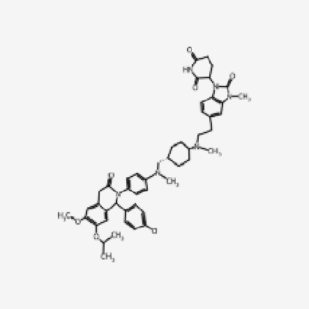 COc1cc2c(cc1OC(C)C)C(c1ccc(Cl)cc1)N(c1ccc(N(C)C[C@H]3CC[C@H](N(C)CCc4ccc5c(c4)n(C)c(=O)n5C4CCC(=O)NC4=O)CC3)cc1)C(=O)C2